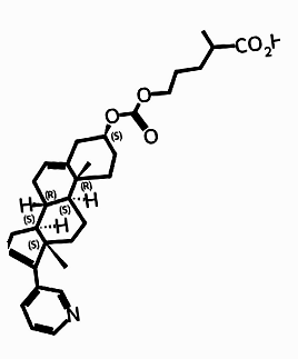 CC(CCCOC(=O)O[C@H]1CC[C@@]2(C)C(=CC[C@@H]3[C@@H]2CC[C@]2(C)C(c4cccnc4)=CC[C@@H]32)C1)C(=O)O